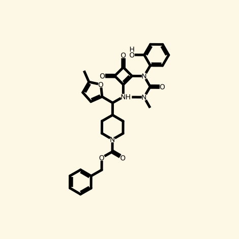 Cc1ccc(C(Nc2c(N(C(=O)N(C)C)c3ccccc3O)c(=O)c2=O)C2CCN(C(=O)OCc3ccccc3)CC2)o1